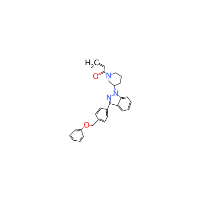 C=CC(=O)N1CCC[C@@H](n2nc(-c3ccc(COc4ccccc4)cc3)c3ccccc32)C1